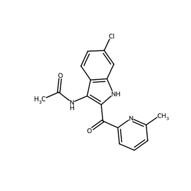 CC(=O)Nc1c(C(=O)c2cccc(C)n2)[nH]c2cc(Cl)ccc12